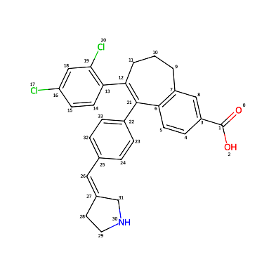 O=C(O)c1ccc2c(c1)CCCC(c1ccc(Cl)cc1Cl)=C2c1ccc(C=C2CCNC2)cc1